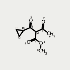 COC(=O)C(C(C)=O)C(=O)C1CC1